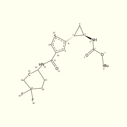 CC(C)(C)OC(=O)N[C@@H]1C[C@H]1c1cc(C(=O)NC2CCC(F)(F)CC2)cs1